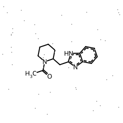 CC(=O)N1CCCCC1Cc1nc2ccccc2[nH]1